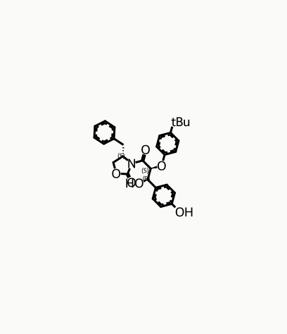 CC(C)(C)c1ccc(O[C@H](C(=O)N2C(=O)OC[C@@H]2Cc2ccccc2)[C@H](O)c2ccc(O)cc2)cc1